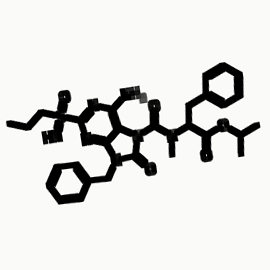 CCCS(=N)(=O)c1nc(N)c2c(n1)n(Cc1ccccc1)c(=O)n2C(=O)N(C)C(Cc1ccccc1)C(=O)OC(C)C